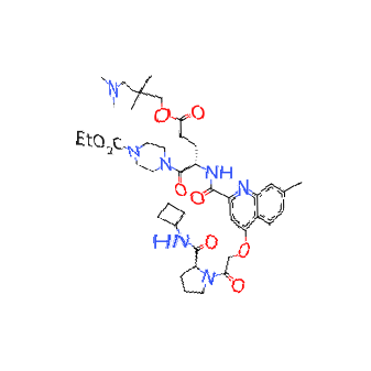 CCOC(=O)N1CCN(C(=O)[C@H](CCC(=O)OCC(C)(C)CN(C)C)NC(=O)c2cc(OCC(=O)N3CCC[C@H]3C(=O)NC3CCC3)c3ccc(C)cc3n2)CC1